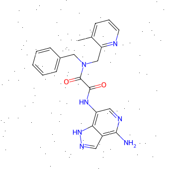 Cc1cccnc1CN(Cc1ccccc1)C(=O)C(=O)Nc1cnc(N)c2cn[nH]c12